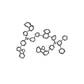 c1ccc(-c2cc(-c3ccccc3)cc(N(c3ccc(-c4cccc5c4oc4ccccc45)cc3)c3cccc(-c4ccc(-c5cccc(-c6cccc(N(c7ccc(-c8cccc9c8oc8ccccc89)cc7)c7cccc(-c8cccc9ccccc89)c7)c6)c5)c5ccccc45)c3)c2)cc1